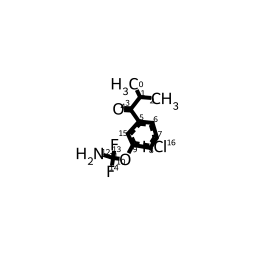 CC(C)C(=O)c1cccc(OC(N)(F)F)c1.Cl